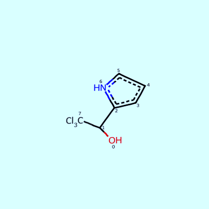 OC(c1ccc[nH]1)C(Cl)(Cl)Cl